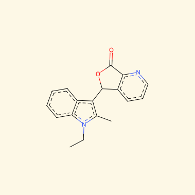 CCn1c(C)c(C2OC(=O)c3ncccc32)c2ccccc21